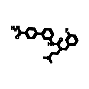 CN(C)CCN(Cc1cccc(F)c1)C(=O)Nc1cccc(-c2ccc(C(N)=O)cc2)c1